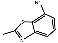 Cc1nc2cccc(C#N)c2s1